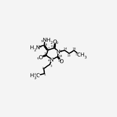 CCCCN1C(=O)C(=C(N)N)C(=O)N(CCCC)C1=O